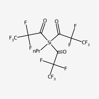 CCC[Si](C(=O)C(F)(F)C(F)(F)F)(C(=O)C(F)(F)C(F)(F)F)C(=O)C(F)(F)C(F)(F)F